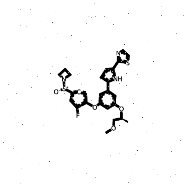 COC[C@H](C)Oc1cc(Oc2ccc([S+]([O-])N3CCC3)cc2F)cc(-c2ccc(-c3nccs3)[nH]2)c1